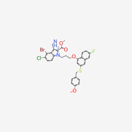 COC(=O)c1c(CN)c2c(Br)c(Cl)ccc2n1CCCOc1cc(SCc2ccc(OC)cc2)cc2cc(F)ccc12